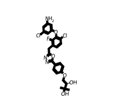 CC(C)(O)[C@@H](O)COc1ccc(-c2nnc(Cc3ccc(Cl)c(Oc4cc(N)cc(Cl)c4)c3F)o2)cc1